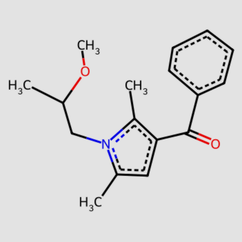 COC(C)Cn1c(C)cc(C(=O)c2ccccc2)c1C